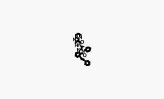 Cc1nn2cccnc2c1C(=O)N[C@@H](C)c1nc2cccc(C#Cc3ccccc3)c2c(=O)n1-c1ccccc1